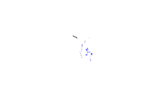 C#C[C@@H](n1cc(C2CC2)nn1)C(C)(C)C